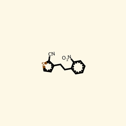 N#Cc1sccc1CCc1ccccc1[N+](=O)[O-]